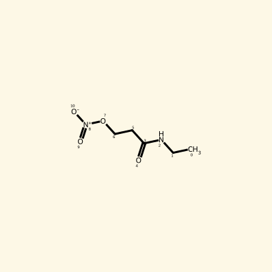 CCNC(=O)CCO[N+](=O)[O-]